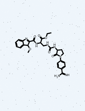 CCOC(=O)C(CNC(=O)NC1CCN(c2ccc(C(=N)N)cc2)C1=O)NC(=O)C1=Nc2ccccc2C1OC